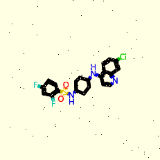 O=S(=O)(NC1CCC(Nc2ccnc3cc(Cl)ccc23)CC1)c1ccc(F)cc1F